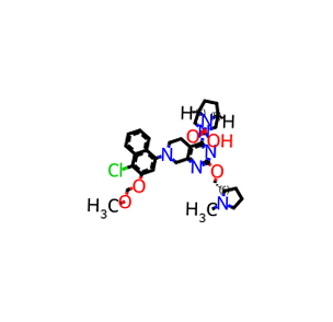 COCOc1cc(N2CCc3c(nc(OC[C@@H]4CCCN4C)nc3N3C[C@H]4CC[C@@H](C3)N4C(=O)O)C2)c2ccccc2c1Cl